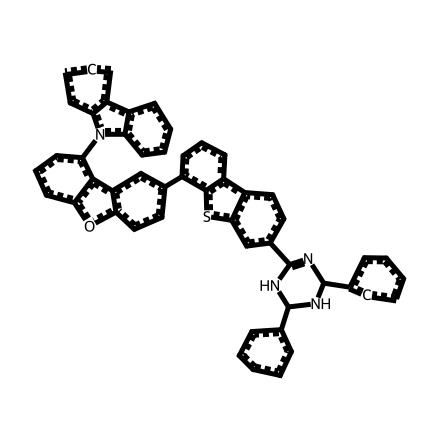 c1ccc(C2N=C(c3ccc4c(c3)sc3c(-c5ccc6oc7cccc(-n8c9ccccc9c9ccccc98)c7c6c5)cccc34)NC(c3ccccc3)N2)cc1